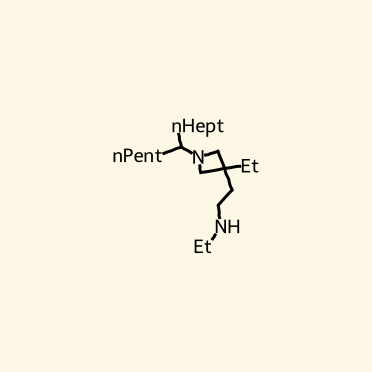 CCCCCCCC(CCCCC)N1CC(CC)(CCNCC)C1